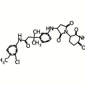 Cc1ccc(NC(=O)CC(C)(C)c2cccc(NC3CC(=O)N(C4CCC(=O)NC4=O)C3=O)c2)cc1Cl